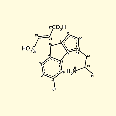 Cc1ccc2c(c1)-c1c(ccn1CC(C)N)C2.O=C(O)C=CC(=O)O